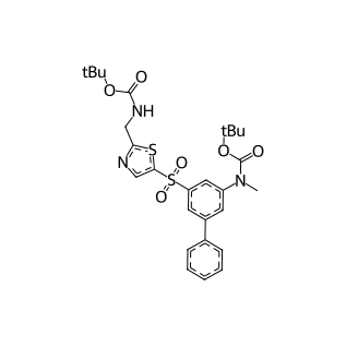 CN(C(=O)OC(C)(C)C)c1cc(-c2ccccc2)cc(S(=O)(=O)c2cnc(CNC(=O)OC(C)(C)C)s2)c1